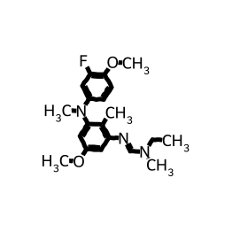 CCN(C)C=Nc1cc(OC)cc(N(C)c2ccc(OC)c(F)c2)c1C